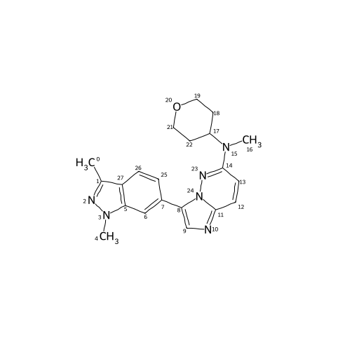 Cc1nn(C)c2cc(-c3cnc4ccc(N(C)C5CCOCC5)nn34)ccc12